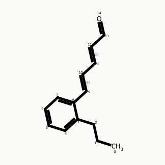 CCCc1ccccc1/C=C/C=C/C=O